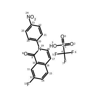 O=S(=O)(O)C(F)(F)F.O=c1c2cc(F)ccc2ccn1-c1ccc([N+](=O)[O-])cc1